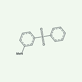 CNc1cccc(S(=O)(=O)c2ccccc2)c1